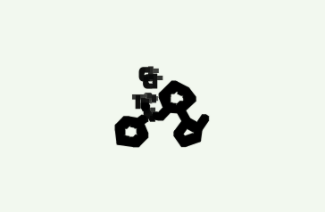 CC1=C(c2ccccc2C[N]([Ti+2])c2ccccc2)CC=C1.[Cl-].[Cl-]